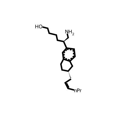 CCC/C=C\C[C@@H]1CCc2cc([C@H](CN)CCCCO)ccc2C1